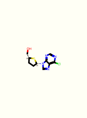 OC[C@H]1CC[C@@H](n2cnc3c(Cl)ncnc32)S1